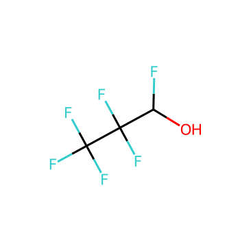 OC(F)C(F)(F)C(F)(F)F